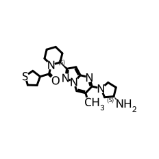 Cc1cn2nc([C@@H]3CCCCN3C(=O)C3CCSC3)cc2nc1N1CC[C@H](N)C1